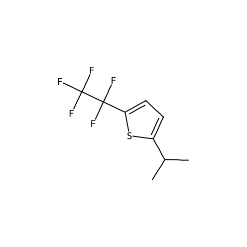 CC(C)c1ccc(C(F)(F)C(F)(F)F)s1